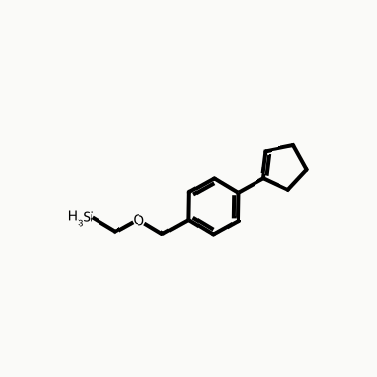 [SiH3]COCc1ccc(C2=CCCC2)cc1